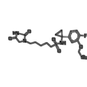 CC(C)(C)COc1cc(C2(NS(=O)(=O)CCCCCN3CC(=O)NC3=O)CC2)ccc1F